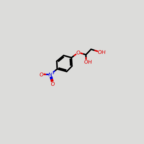 O=[N+]([O-])c1ccc(OC(O)CO)cc1